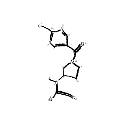 CCC(=O)N(C)C1CCN(C(=O)c2cnc(Cl)nc2)C1